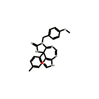 COc1ccc(CN2C(=O)NC3(c4ccc(C)cc4)C2=NC=Nc2[nH]cnc23)cc1